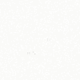 NCCC([SiH3])c1ccccc1